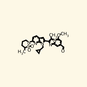 COc1cc(C=O)cc2nc(-c3cc4ccc(N5CCCC(C)S5(=O)=O)nc4n3CC3CC3)c(C)n12